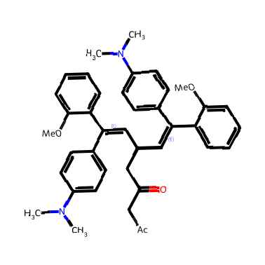 COc1ccccc1/C(=C/C(/C=C(\c1ccc(N(C)C)cc1)c1ccccc1OC)CC(=O)CC(C)=O)c1ccc(N(C)C)cc1